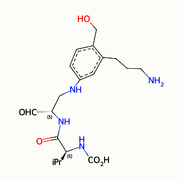 CC(C)[C@H](NC(=O)O)C(=O)N[C@H](C=O)CNc1ccc(CO)c(CCCN)c1